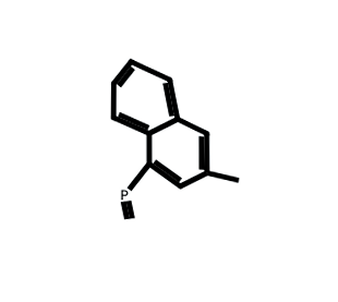 C=Pc1cc(C)cc2ccccc12